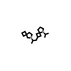 CC(CC1CC2(CCCN2C(C)C)C1)N1CCC2(CCC2)C1